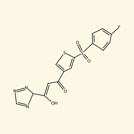 O=C(C=C(O)C1N=CN=N1)c1csc(S(=O)(=O)c2ccc(F)cc2)c1